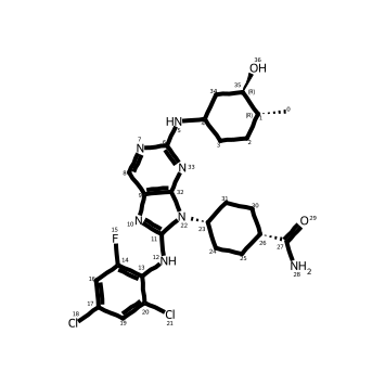 C[C@@H]1CCC(Nc2ncc3nc(Nc4c(F)cc(Cl)cc4Cl)n([C@H]4CC[C@@H](C(N)=O)CC4)c3n2)C[C@H]1O